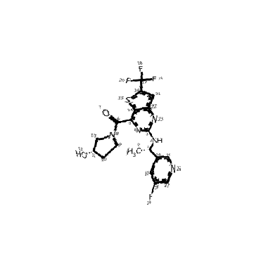 C[C@H](Nc1nc(C(=O)N2CC[C@H](O)C2)c2sc(C(F)(F)F)cc2n1)c1cncc(F)c1